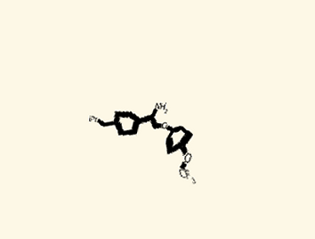 CC(C)Cc1ccc(C(N)COc2ccc(OC(F)(F)F)cc2)cc1